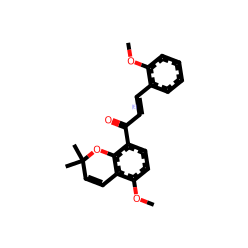 COc1ccccc1/C=C/C(=O)c1ccc(OC)c2c1OC(C)(C)C=C2